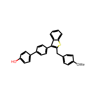 COc1ccc(Cc2sc3ccccc3c2-c2ccc(-c3ccc(O)cc3)cc2)cc1